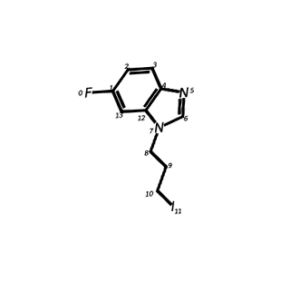 Fc1ccc2ncn(CCCI)c2c1